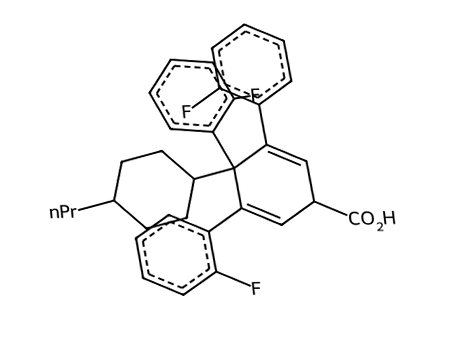 CCCC1CCC(C2(c3ccccc3F)C(c3ccccc3F)=CC(C(=O)O)C=C2c2ccccc2F)CC1